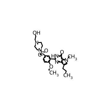 CCCc1cn(C)c2c(=O)[nH]c(-c3cc(S(=O)(=O)N4CCN(CCO)CC4)ccc3OCC)nc12